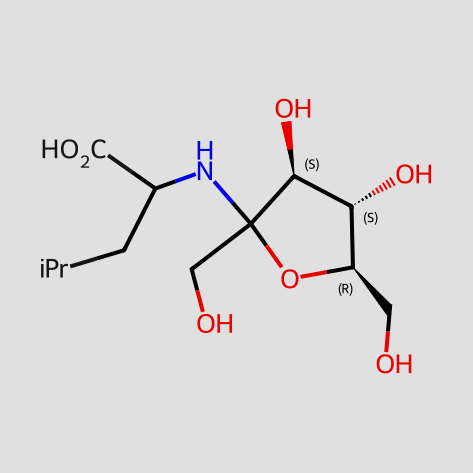 CC(C)CC(NC1(CO)O[C@H](CO)[C@@H](O)[C@@H]1O)C(=O)O